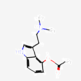 CC(C)C(=O)Oc1cccc2[nH]cc(CCN(C(C)C)C(C)C)c12